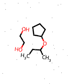 CCC(C)OC1CCCC1.OCCO